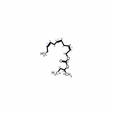 CC/C=C\C/C=C\C/C=C\COC(=O)OC(C)CC